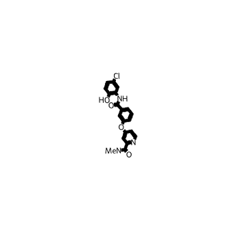 CNC(=O)c1cc(Oc2cccc(C(=O)Nc3cc(Cl)ccc3O)c2)ccn1